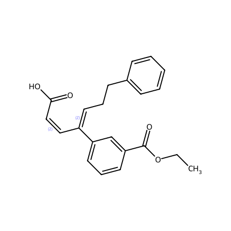 CCOC(=O)c1cccc(C(/C=C\C(=O)O)=C\CCc2ccccc2)c1